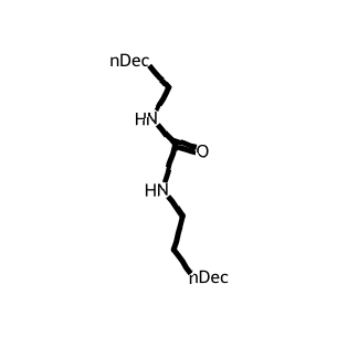 CCCCCCCCCCCCNC(=O)NCCCCCCCCCCC